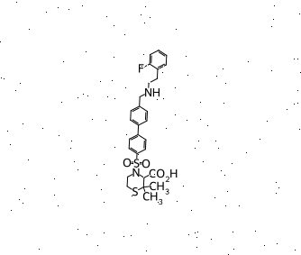 CC1(C)SCCN(S(=O)(=O)c2ccc(-c3ccc(CNCCc4ccccc4F)cc3)cc2)C1C(=O)O